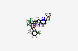 Cc1ccc(F)cc1C(C)(C)CC(O)(Cc1cc2nc(OC(C)C)ccc2[nH]1)C(F)(F)F